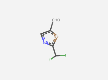 O=Cc1cnc(C(F)F)s1